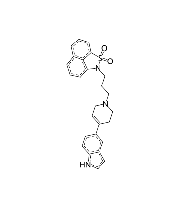 O=S1(=O)c2cccc3cccc(c23)N1CCCN1CC=C(c2ccc3[nH]ccc3c2)CC1